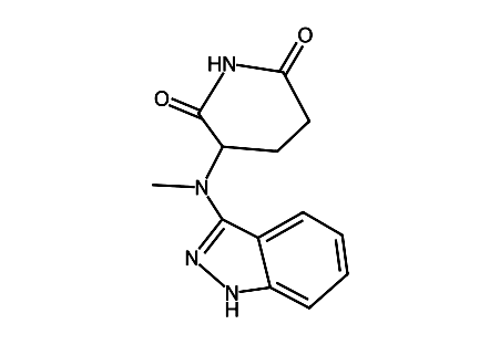 CN(c1n[nH]c2ccccc12)C1CCC(=O)NC1=O